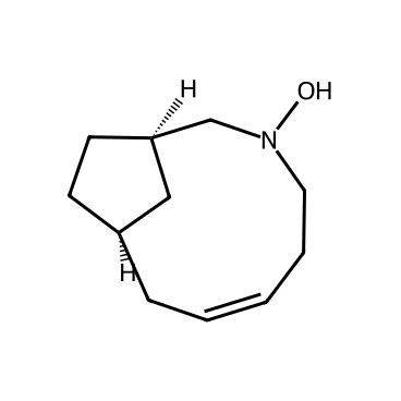 ON1CC/C=C\C[C@H]2CC[C@H](C2)C1